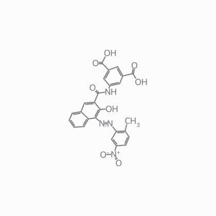 Cc1ccc([N+](=O)[O-])cc1/N=N/c1c(O)c(C(=O)Nc2cc(C(=O)O)cc(C(=O)O)c2)cc2ccccc12